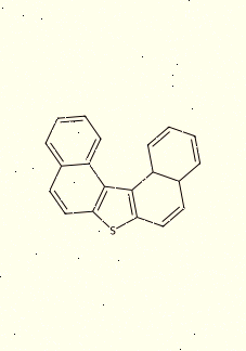 C1=CC2C=Cc3sc4ccc5ccccc5c4c3C2C=C1